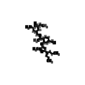 CCCN(CCC)c1cc(Oc2cc(C#N)ccc2/C(C)=N/C=C(\C=C(/C)CC)CCN)n(C)n1